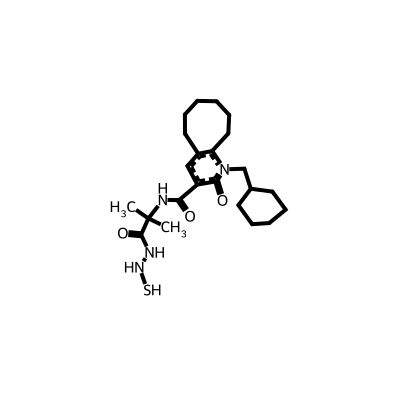 CC(C)(NC(=O)c1cc2c(n(CC3CCCCC3)c1=O)CCCCCC2)C(=O)NNS